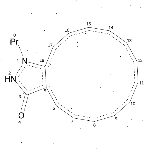 CC(C)n1[nH]c(=O)c2ccccccccccccc21